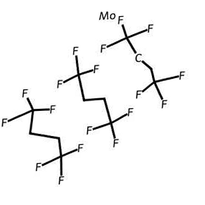 FC(F)(F)CCC(F)(F)F.FC(F)(F)CCC(F)(F)F.FC(F)(F)CCC(F)(F)F.[Mo]